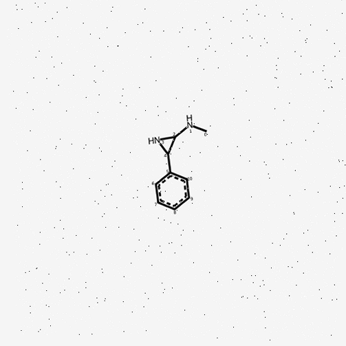 CNC1N[C]1c1ccccc1